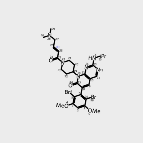 COc1cc(OC)c(Br)c(-c2cc3cnc(NC(C)C)nc3n(C3CCN(C(=O)/C=C/CN(C)C)CC3)c2=O)c1Br